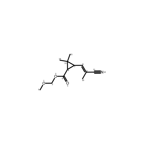 COCOC(=O)C1C(/C=C(\C)C#N)C1(C)C